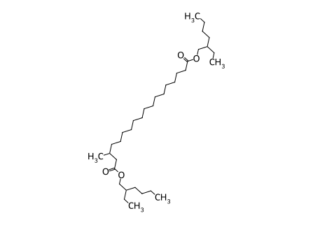 CCCCC(CC)COC(=O)CCCCCCCCCCCCCCC(C)CC(=O)OCC(CC)CCCC